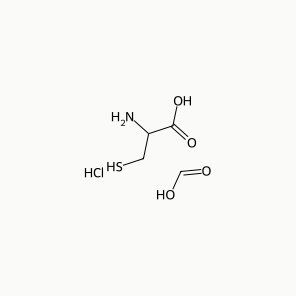 Cl.NC(CS)C(=O)O.O=CO